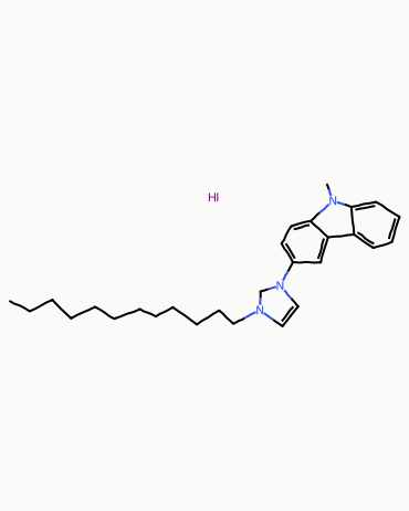 CCCCCCCCCCCCN1C=CN(c2ccc3c(c2)c2ccccc2n3C)C1.I